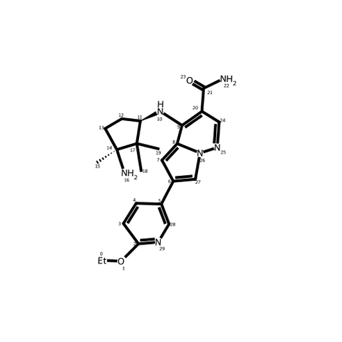 CCOc1ccc(-c2cc3c(N[C@@H]4CC[C@](C)(N)C4(C)C)c(C(N)=O)cnn3c2)cn1